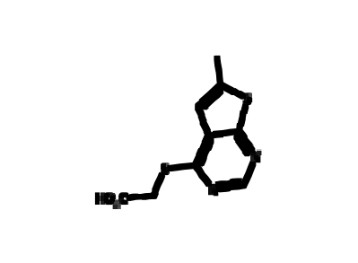 Cc1cc2c(SCC(=O)O)ncnc2s1